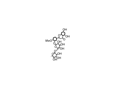 COc1ccc([C@@H]2CC(=O)c3c(O)cc(O)cc3O2)cc1O[C@@H]1O[C@H](CO[C@@H]2O[C@@H](C)[C@H](O)[C@@H](O)[C@H]2O)[C@@H](O)[C@H](O)[C@H]1O